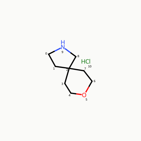 C1CC2(CCOCC2)CN1.Cl